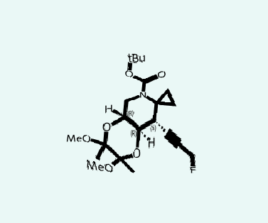 COC1(C)O[C@@H]2[C@@H](C#CCF)C3(CC3)N(C(=O)OC(C)(C)C)C[C@H]2OC1(C)OC